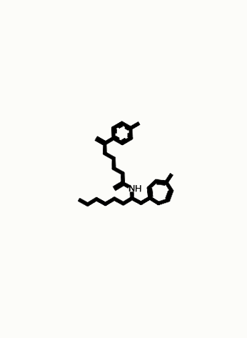 C=C(CCCCC(=C)c1ccc(C)cc1)NC(CCCCCC)CC1=CC=C(C)C=CC1